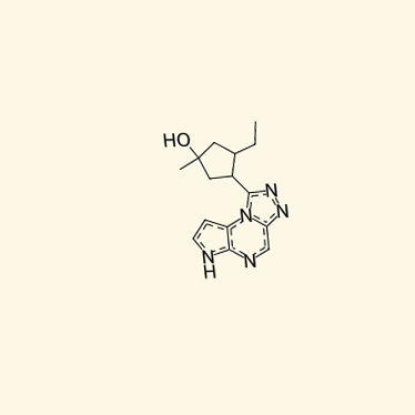 CCC1CC(C)(O)CC1c1nnc2cnc3[nH]ccc3n12